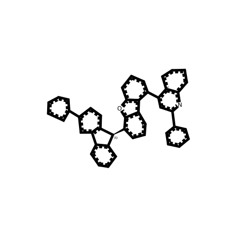 c1ccc(-c2ccc3c(c2)-c2ccccc2[C@@H]3c2cccc3c2oc2cccc(-c4cc(-c5ccccc5)nc5ccccc45)c23)cc1